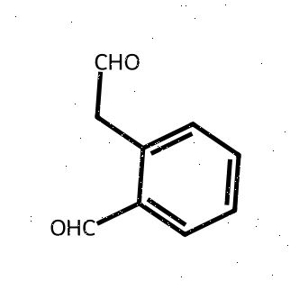 O=CCc1ccccc1C=O